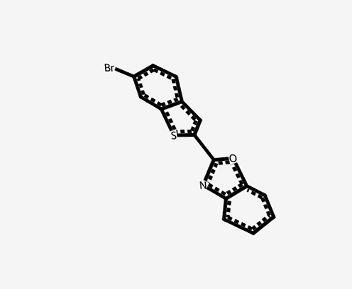 Brc1ccc2cc(-c3nc4ccccc4o3)sc2c1